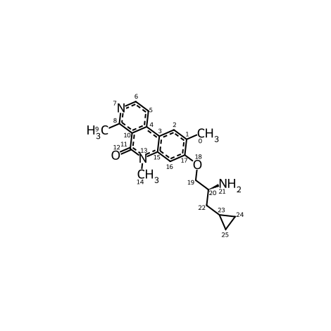 Cc1cc2c3ccnc(C)c3c(=O)n(C)c2cc1OC[C@@H](N)CC1CC1